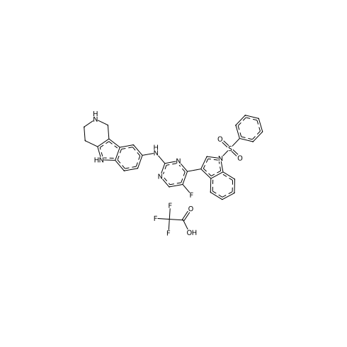 O=C(O)C(F)(F)F.O=S(=O)(c1ccccc1)n1cc(-c2nc(Nc3ccc4[nH]c5c(c4c3)CNCC5)ncc2F)c2ccccc21